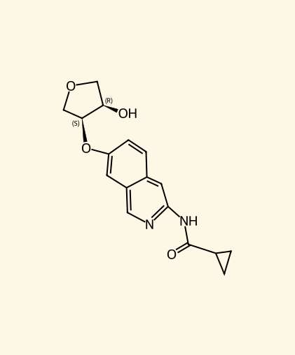 O=C(Nc1cc2ccc(O[C@H]3COC[C@H]3O)cc2cn1)C1CC1